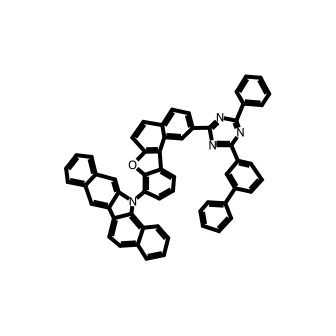 c1ccc(-c2cccc(-c3nc(-c4ccccc4)nc(-c4ccc5ccc6oc7c(-n8c9cc%10ccccc%10cc9c9ccc%10ccccc%10c98)cccc7c6c5c4)n3)c2)cc1